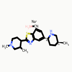 CC1CN(C)CCC1c1nc2cc([C@H]3CC[C@H](C)CN3)ccc2s1.[BH3-]C#N.[Na+]